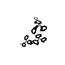 [C]=O.[Ir].c1ccc(P(c2ccccc2)c2ccccc2)cc1.c1ccc(P(c2ccccc2)c2ccccc2)cc1.c1ccc(P(c2ccccc2)c2ccccc2)cc1